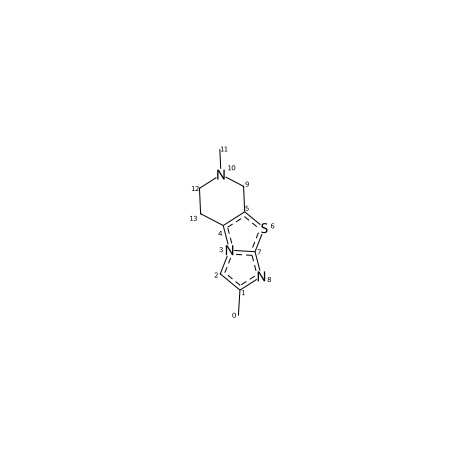 Cc1cn2c3c(sc2n1)CN(C)CC3